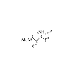 C=C/C=C\C(N)=C(/C=C)CNC